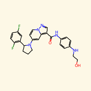 O=C(Nc1ccc(NCCO)cc1)c1cnn2ccc(N3CCCC3c3cc(F)ccc3F)cc12